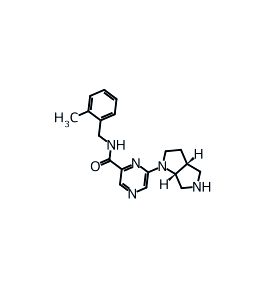 Cc1ccccc1CNC(=O)c1cncc(N2CC[C@@H]3CNC[C@@H]32)n1